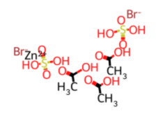 CC(=O)O.CC(=O)O.CC(=O)O.O=S(=O)(O)O.O=S(=O)(O)O.[Br-].[Br-].[Zn+2]